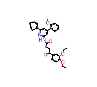 CCOc1ccc(C(=O)CCC(=O)Nc2cc(-c3ccccc3OC)cc(-c3ccccc3)n2)cc1OCC